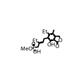 CC/C(=C\Cc1c(O)c2c(c(C)c1CC)COC2=O)CP(=O)(O)OC